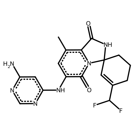 Cc1cc(Nc2cc(N)ncn2)c(=O)n2c1C(=O)NC21C=C(C(F)F)CCC1